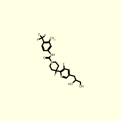 Cc1cc(NC(=O)N2CCC(F)(c3ncc(CC(O)CO)cc3F)CC2)ccc1C(F)(F)F